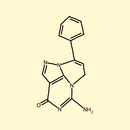 Nc1nc(=O)c2cnn3c2n1CC=C3c1ccccc1